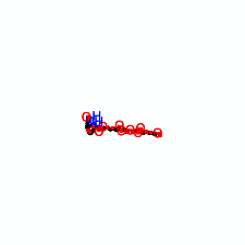 COCCCCCC(=O)OCCOCCOC(=O)CCCCCOC(=O)NC1CC(C)(C)CC(C)(CNC(C)=O)C1